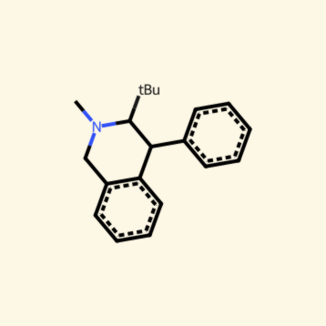 CN1Cc2ccccc2C(c2ccccc2)C1C(C)(C)C